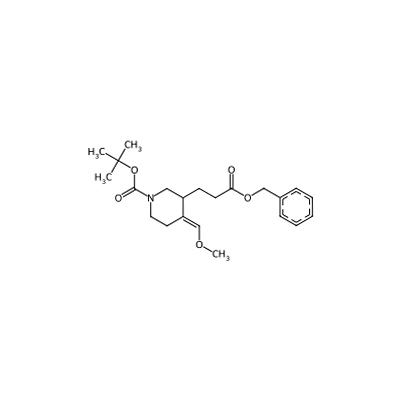 COC=C1CCN(C(=O)OC(C)(C)C)CC1CCC(=O)OCc1ccccc1